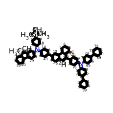 [2H]c1c2c3c(cccc3c3cc(-c4ccc(N(c5ccc([Si](C)(C)C)cc5)c5ccc6c(c5)C(C)(C)c5ccccc5-6)cc4)ccc13)Sc1cc(N(c3ccc(-c4ccccc4)cc3)c3ccc(-c4ccccc4)cc3)ccc1-2